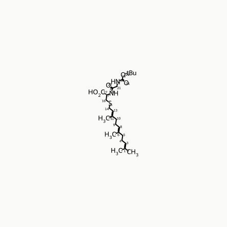 CC(C)=CCC/C(C)=C/CC/C(C)=C/CSC[C@H](NC(=O)CNC(=O)OC(C)(C)C)C(=O)O